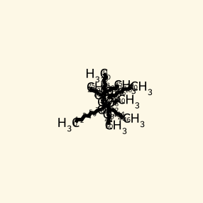 CCCCCCCCOC(OC(OCCCCCCCC)C(OCCC)=C(CCCCC)OCCC)C(OCCC)=C(CCCCC)OCCC